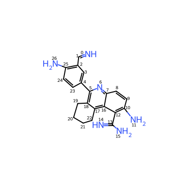 N=Cc1cc(-c2nc3ccc(N)c(C(=N)N)c3c3c2CCCC3)ccc1N